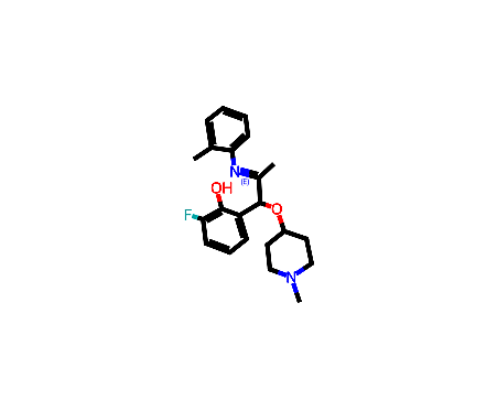 C/C(=N\c1ccccc1C)C(OC1CCN(C)CC1)c1cccc(F)c1O